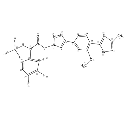 COc1cc(-c2cn(CC(=O)N(CC(F)(F)F)c3ccc(F)c(F)c3F)nn2)ccc1-c1nc(C)c[nH]1